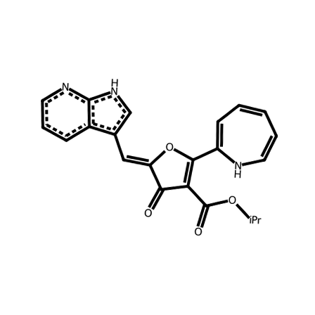 CC(C)OC(=O)C1=C(C2=CC=CC=CN2)OC(=Cc2c[nH]c3ncccc23)C1=O